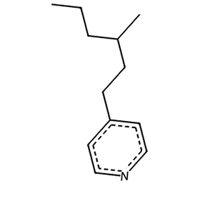 CCCC(C)CCc1ccncc1